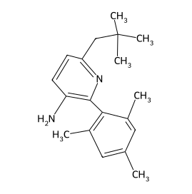 Cc1cc(C)c(-c2nc(CC(C)(C)C)ccc2N)c(C)c1